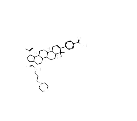 C=C(C)[C@@H]1CC[C@]2(C(=O)NCCCN3CCOCC3)CC[C@]3(C)[C@H](CC[C@@H]4[C@@]5(C)CC=C(c6ccc(C(=O)O)cc6)C(C)(C)[C@@H]5CC[C@]43C)[C@@H]12